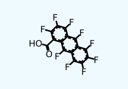 O=C(O)c1c(F)c(F)c(F)c2c(F)c3c(F)c(F)c(F)c(F)c3c(F)c12